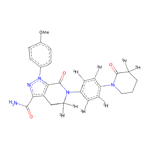 [2H]c1c([2H])c(N2C(=O)c3c(c(C(N)=O)nn3-c3ccc(OC)cc3)CC2([2H])[2H])c([2H])c([2H])c1N1CCCC([2H])([2H])C1=O